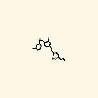 C=C/C=C(O)\C=C/C(C)CCc1ccc(C[C@@H](C)C2CC=CC(C)C2)c(F)c1